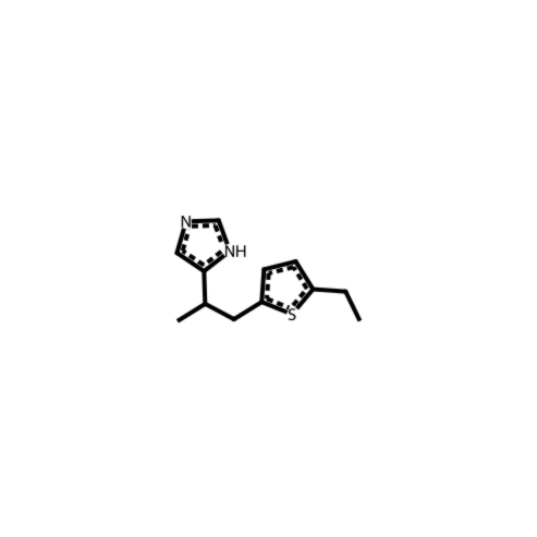 CCc1ccc(CC(C)c2cnc[nH]2)s1